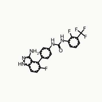 Nc1n[nH]c2ccc(F)c(-c3ccc(NC(=O)Nc4cccc(C(F)(F)F)c4F)cc3)c12